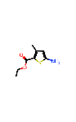 CCOC(=O)c1sc(N)cc1C